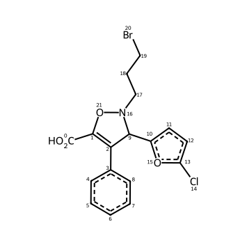 O=C(O)C1=C(c2ccccc2)C(c2ccc(Cl)o2)N(CCCBr)O1